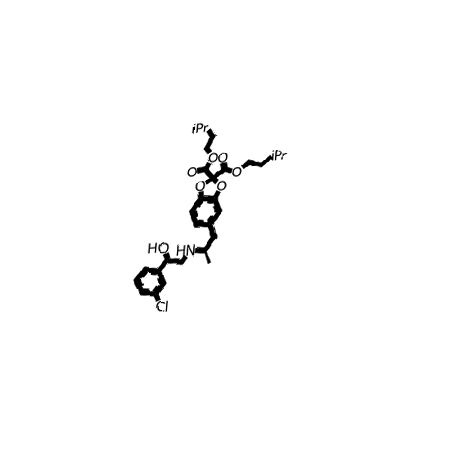 CC(C)CCOC(=O)C1(C(=O)OCCC(C)C)Oc2ccc(C[C@@H](C)NCC(O)c3cccc(Cl)c3)cc2O1